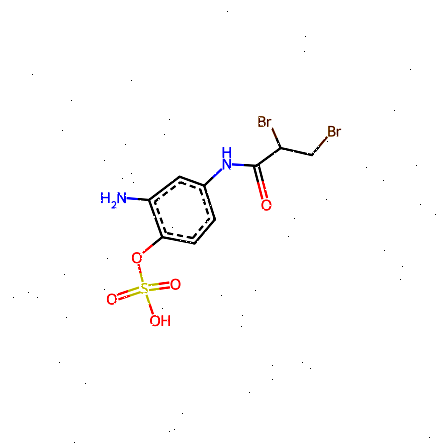 Nc1cc(NC(=O)C(Br)CBr)ccc1OS(=O)(=O)O